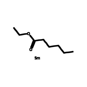 CCCCCC(=O)OCC.[Sm]